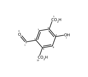 O=Ic1cc(C(=O)O)c(O)cc1C(=O)O